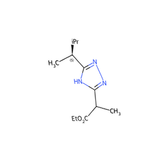 CCOC(=O)C(C)c1nnc([C@@H](C)C(C)C)[nH]1